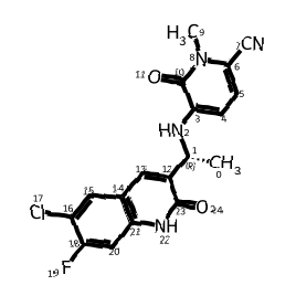 C[C@@H](Nc1ccc(C#N)n(C)c1=O)c1cc2cc(Cl)c(F)cc2[nH]c1=O